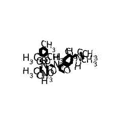 Cc1cc(C)c(S(=O)(=O)N2CC(C)(C)NC(=O)[C@H]2CC(=O)N[C@@H]2CCOc3cc(CNC(C)(C)C)c(Cl)cc32)c(C)c1